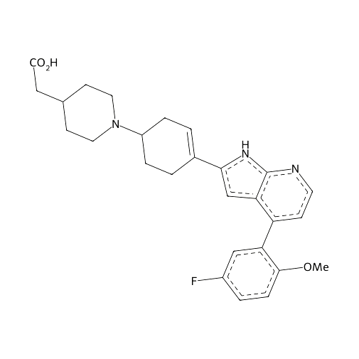 COc1ccc(F)cc1-c1ccnc2[nH]c(C3=CCC(N4CCC(CC(=O)O)CC4)CC3)cc12